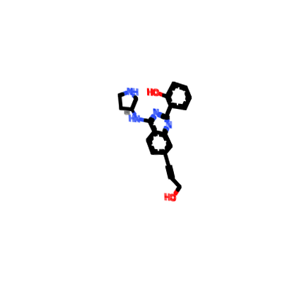 OCC#Cc1ccc2c(N[C@H]3CCNC3)nc(-c3ccccc3O)nc2c1